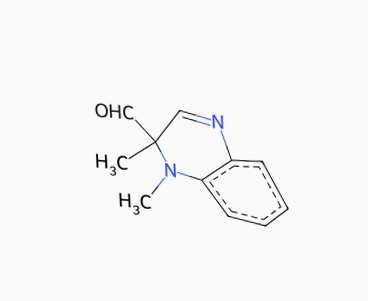 CN1c2ccccc2N=CC1(C)C=O